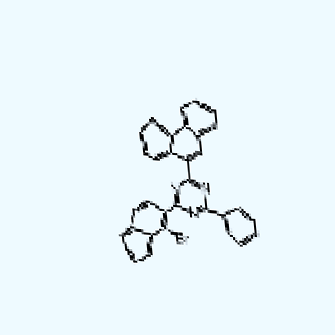 Brc1c(-c2nc(-c3ccccc3)nc(-c3cc4ccccc4c4ccccc34)n2)ccc2ccccc12